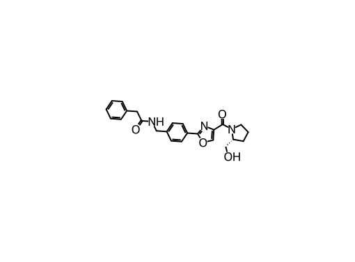 O=C(Cc1ccccc1)NCc1ccc(-c2nc(C(=O)N3CCC[C@@H]3CO)co2)cc1